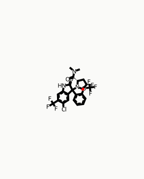 CN(C)C(=O)[C@@H]1C[C@@H](F)CN1C1(c2ccccc2OC(F)(F)F)C(=O)Nc2cc(C(F)(F)F)c(Cl)cc21